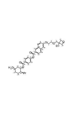 CCC1(COCCOc2ccc3cc(C(=O)Oc4ccc(C(=O)OC5CC(C)CCC5C(C)C)cc4)ccc3c2)COC1